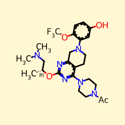 CC(=O)N1CCN(c2nc(O[C@H](C)CN(C)C)nc3c2CCN(c2cc(O)ccc2OC(F)(F)F)C3)CC1